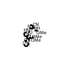 COCCNc1cc(NC(=O)N2CCCc3cc(CN4CCCCOC4=O)c(C(OC)OC)nc32)ncc1C#N